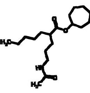 CCCCCC(CCCNC(C)=O)C(=O)OC1CCCCCC1